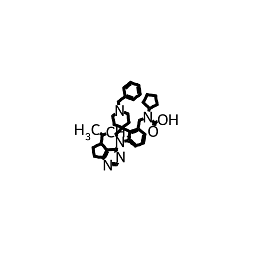 CC(C)C1CCc2ncnc(N3CC4(CCN(Cc5ccccc5)CC4)c4c(CN(C(=O)O)C5CCCC5)cccc43)c21